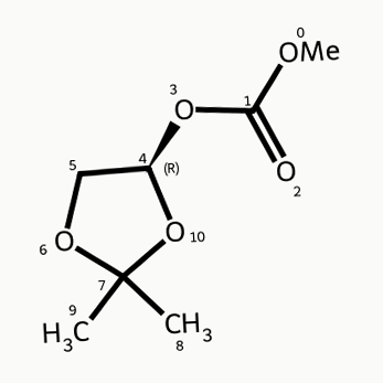 COC(=O)O[C@@H]1COC(C)(C)O1